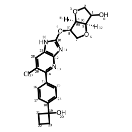 OC1CO[C@H]2[C@@H]1OC[C@H]2Oc1nc2nc(-c3ccc(C4(O)CCC4)cc3)c(Cl)cc2[nH]1